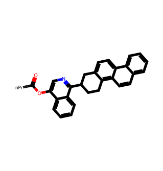 CCCC(=O)Oc1cnc(C2CCc3c(ccc4c3ccc3ccccc34)C2)c2ccccc12